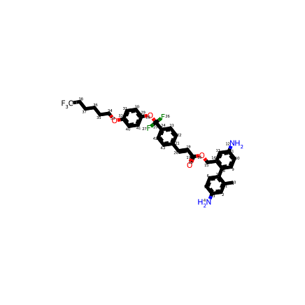 [CH2]c1cc(N)ccc1-c1ccc(N)cc1COC(=O)/C=C/c1ccc(C(F)(F)Oc2ccc(OCCCCCC(F)(F)F)cc2)cc1